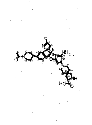 CC(=O)N1CCC(c2ccc(C(Oc3cc(N4CCC5(CC4)CN[C@H](C(=O)O)C5)nc(N)n3)C(F)(F)F)c(-n3ccc(C)n3)c2)CC1